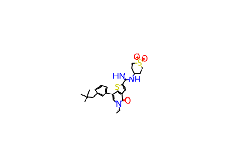 CCn1cc(-c2cccc(CC(C)(C)C)c2)c2sc(C(=N)NC3CCS(=O)(=O)CC3)cc2c1=O